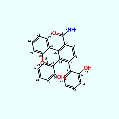 [NH]C(=O)c1ccc(-c2ccccc2O)c(-c2ccccc2O)c1-c1ccccc1O